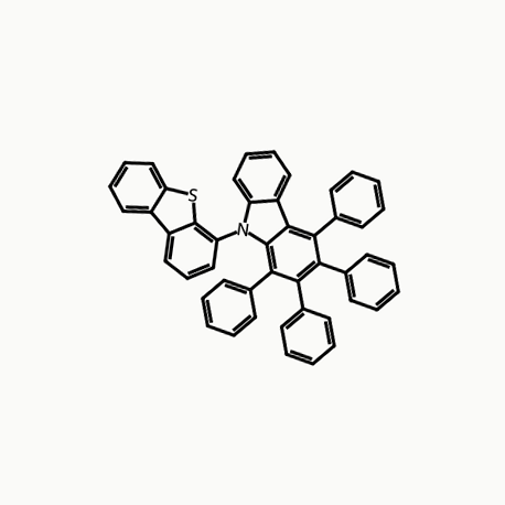 c1ccc(-c2c(-c3ccccc3)c(-c3ccccc3)c3c(c2-c2ccccc2)c2ccccc2n3-c2cccc3c2sc2ccccc23)cc1